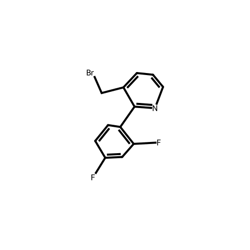 Fc1ccc(-c2ncccc2CBr)c(F)c1